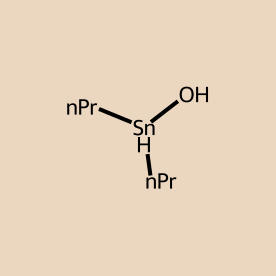 CC[CH2][SnH]([OH])[CH2]CC